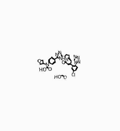 O=C(O)N(c1ccc(-c2nnc([C@@H]3CCc4cc(-c5cc(Cl)ccc5-n5cnnn5)cc(=O)n43)[nH]2)cc1)C1COC1.O=CO